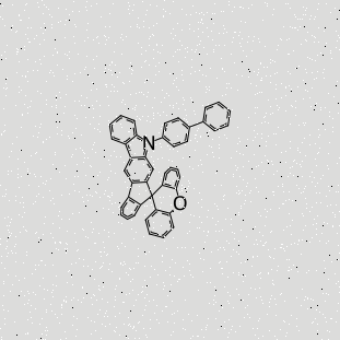 c1ccc(-c2ccc(-n3c4ccccc4c4cc5c(cc43)C3(c4ccccc4Oc4ccccc43)c3ccccc3-5)cc2)cc1